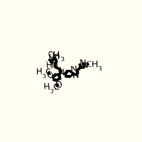 COc1cc(OC)cc(N(CCN2C[C@@H]3C[C@H]2CN3C)c2ccc3ncc(-c4cnn(C)c4)nc3c2)c1